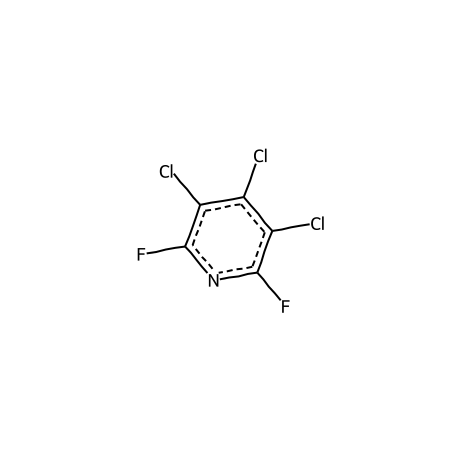 Fc1nc(F)c(Cl)c(Cl)c1Cl